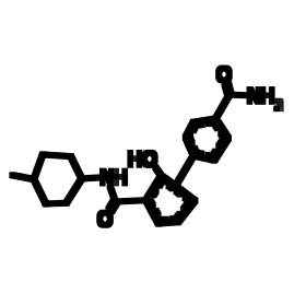 CC1CCC(NC(=O)c2cccc(-c3ccc(C(N)=O)cc3)c2O)CC1